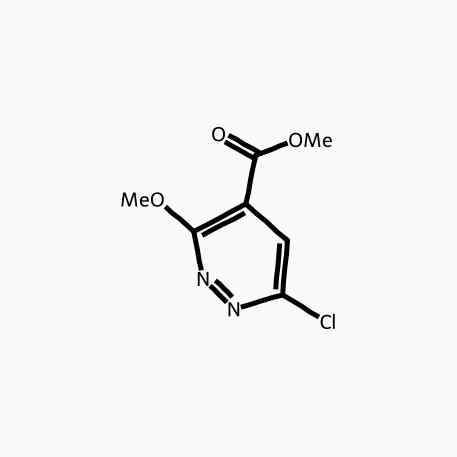 COC(=O)c1cc(Cl)nnc1OC